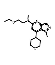 CCOCCN(C)c1cc(C2CCOCC2)c2c(cnn2C)n1